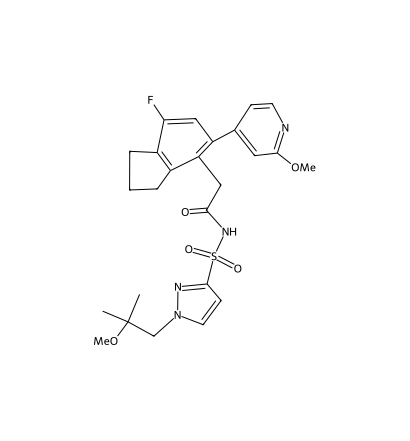 COc1cc(-c2cc(F)c3c(c2CC(=O)NS(=O)(=O)c2ccn(CC(C)(C)OC)n2)CCC3)ccn1